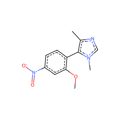 COc1cc([N+](=O)[O-])ccc1-c1c(C)ncn1C